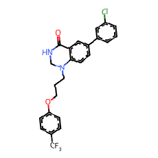 O=C1NCN(CCCOc2ccc(C(F)(F)F)cc2)c2ccc(-c3cccc(Cl)c3)cc21